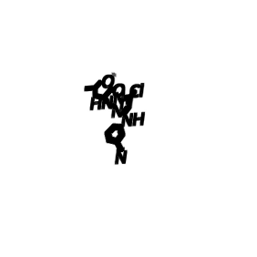 COC(=O)C(CC(C)C)Nc1nc(Cl)cc(Nc2cccc(C#N)c2)n1